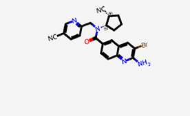 N#Cc1ccc(CN(C(=O)c2ccc3nc(N)c(Br)cc3c2)[C@H]2CCC[C@H]2C#N)nc1